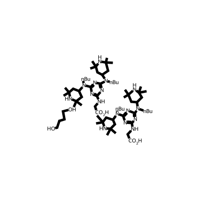 CCCCN(c1nc(NCC(=O)O)nc(N(CCCC)C2CC(C)(C)NC(C)(C)C2)n1)C1CC(C)(C)NC(C)(C)C1.CCCCN(c1nc(NCC(=O)O)nc(N(CCCC)C2CC(C)(C)NC(C)(C)C2)n1)C1CC(C)(C)NC(C)(C)C1.OCCCCO